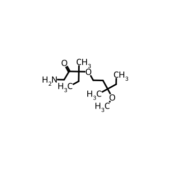 CCC(C)(CCOC(C)(CC)C(=O)CN)OC